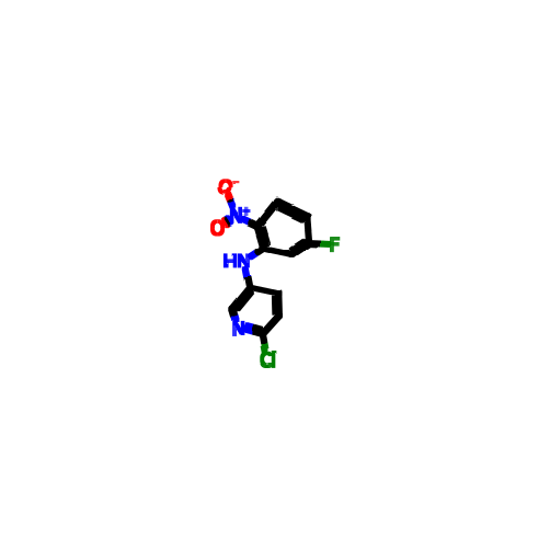 O=[N+]([O-])c1ccc(F)cc1Nc1ccc(Cl)nc1